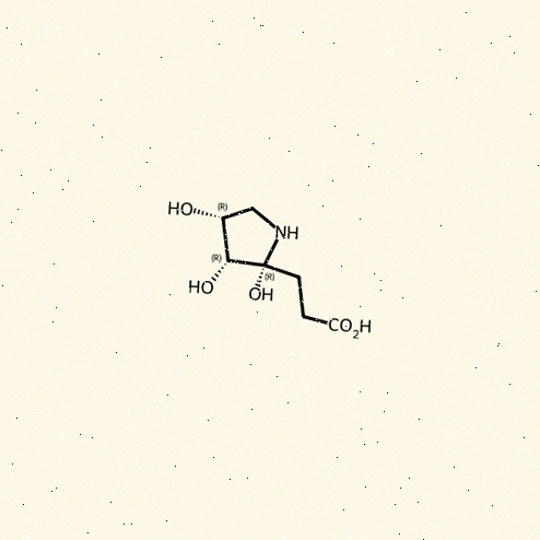 O=C(O)CC[C@]1(O)NC[C@@H](O)[C@H]1O